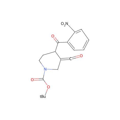 CC(C)(C)OC(=O)N1CCC(C(=O)c2ccccc2[N+](=O)[O-])C(=C=O)C1